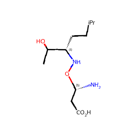 CC(C)CC[C@H](NO[C@H](N)CC(=O)O)C(C)O